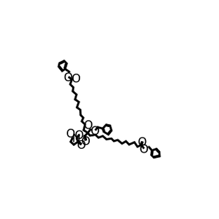 O=C(CCCCCCCCCCCCCC(CCCCCCCCCCCCCC(=O)OCc1ccccc1)(C(=O)OCc1ccccc1)C(=O)ON1C(=O)CCC1=O)OCc1ccccc1